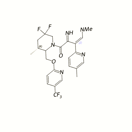 CN/C=C(\C(=N)C(=O)N1CC(F)(F)C[C@@H](C)C1COc1ccc(C(F)(F)F)cn1)c1ccc(C)cn1